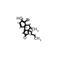 CCCCC12CC(=O)C=C1c1ccc(O)c(Br)c1CC2C